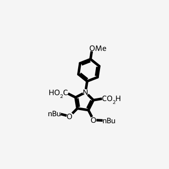 CCCCOc1c(OCCCC)c(C(=O)O)n(-c2ccc(OC)cc2)c1C(=O)O